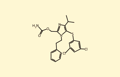 CC(C)c1nc(COC(N)=O)n(CCc2ccccc2)c1Sc1cc(Cl)cc(Cl)c1